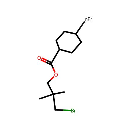 CCCC1CCC(C(=O)OCC(C)(C)CBr)CC1